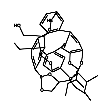 CCC(C)COc1cc2c3cc1OCC(CC)C(CO)OBc1ccc4c(c1)-c1cc(c(OCC(C)CC)cc1-2)OCC(CC)C1COB(O1)c1ccc-4c-3c1